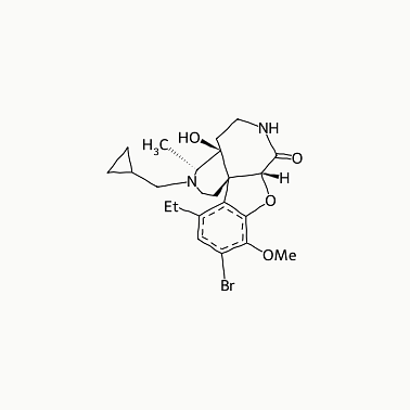 CCc1cc(Br)c(OC)c2c1[C@]13CCN(CC4CC4)[C@H](C)[C@]1(O)CCNC(=O)[C@@H]3O2